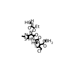 BOC(=O)C1=C(CCl)CS[C@@H]2[C@H](NC(=O)/C(=N\O[C@@H](CC)C(=O)BO)c3csc(C)n3)C(=O)N12